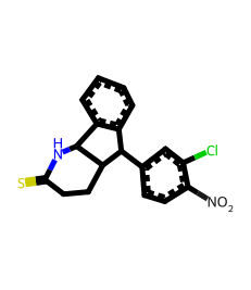 O=[N+]([O-])c1ccc(C2c3ccccc3C3NC(=S)CCC32)cc1Cl